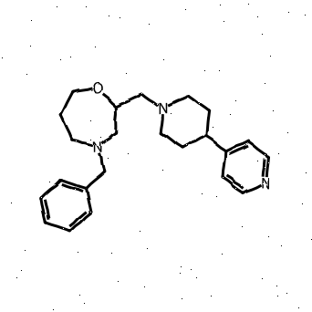 c1ccc(CN2CCCOC(CN3CCC(c4ccncc4)CC3)C2)cc1